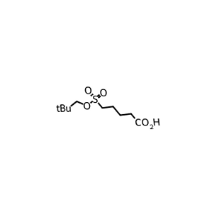 CC(C)(C)COS(=O)(=O)CCCCC(=O)O